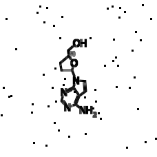 Nc1ncnc2c1ccn2C1CC[C@@H](CO)O1